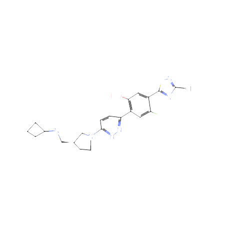 Cc1nsc(-c2cc(O)c(-c3ccc(N4CC[C@@H](CNC5CCC5)C4)nn3)cc2F)n1